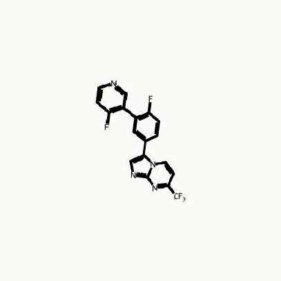 Fc1ccncc1-c1cc(-c2cnc3nc(C(F)(F)F)ccn23)ccc1F